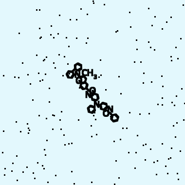 CC1=C(n2c3ccccc3c3ccccc32)Oc2ccc(-c3nc4cc(N(c5ccccc5)c5ccc6nc(-c7ccccc7)oc6c5)ccc4o3)cc2C1